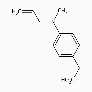 C=CCN(C)c1ccc(CC(=O)O)cc1